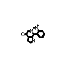 CN(C)c1ccccc1C1N=CC(=O)C2=C1N=CC2